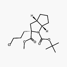 COC(=O)[C@@]1(CCCCl)C[C@@H]2CCC[C@@H]2N1C(=O)OC(C)(C)C